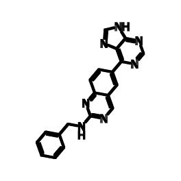 c1ccc(CNc2ncc3cc(-c4ncnc5[nH]cnc45)ccc3n2)cc1